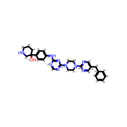 OC1(c2ccc(Nc3ncnc(N4CCN(c5ncc(Cc6ccccc6)cn5)CC4)n3)cc2)CCCNC1